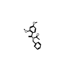 C=C(c1ccc(OC)cc1OC)N(Cc1ccccc1)C(C)=O